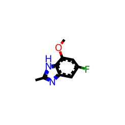 COc1cc(F)cc2nc(C)[nH]c12